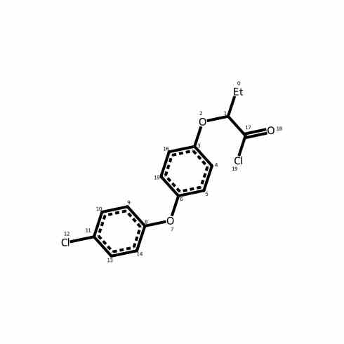 CCC(Oc1ccc(Oc2ccc(Cl)cc2)cc1)C(=O)Cl